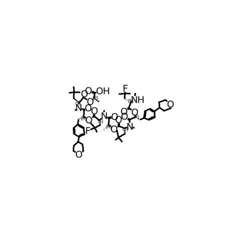 CN[C@@H](CC(C)(C)F)C(=O)O[C@H](Cc1ccc(C2CCOCC2)cc1)C(=O)N(C)[C@@H](CC(C)(C)C)C(=O)O[C@H](C)C(=O)N(C)[C@@H](CC(C)(C)F)C(=O)O[C@H](Cc1ccc(C2CCOCC2)cc1)C(=O)N(C)[C@@H](CC(C)(C)C)C(=O)O[C@H](C)C(=O)O